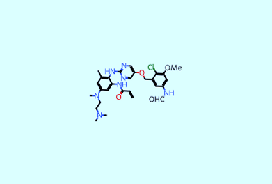 C=CC(=O)Nc1cc(N(C)CCN(C)C)cc(C)c1Nc1ncc(OCc2cc(NC=O)cc(OC)c2Cl)cn1